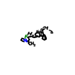 C=C(C)c1ccccc1/C(C)=C/C(C)=C/C=C(/F)CC(=C)N1CCCC1